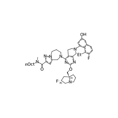 CCCCCCCCN(C)C(=O)c1cc2n(n1)CCCN(c1nc(OC[C@@]34CCCN3C[C@H](F)C4)nc3c1CCN(c1cc(O)cc4ccc(F)c(CC)c14)C3)C2